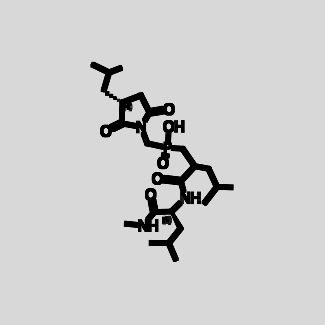 CNC(=O)[C@H](CC(C)C)NC(=O)C(CC(C)C)CP(=O)(O)CN1C(=O)C[C@@H](CC(C)C)C1=O